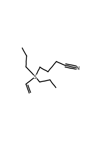 C=CS(CCC)(CCC)CCCC#N